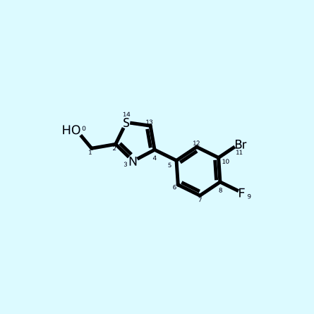 OCc1nc(-c2ccc(F)c(Br)c2)cs1